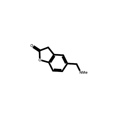 CNCc1ccc2c(c1)CC(=O)O2